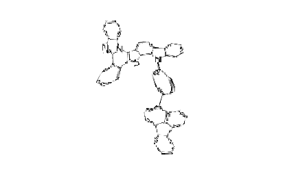 c1ccc2c(c1)-c1cccc3c(-c4ccc(-n5c6ccccc6c6ccc7c(sc8c9ccccc9c9nc%10ccccc%10n9c78)c65)cc4)ccc-2c13